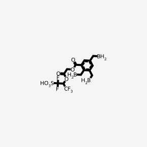 BCc1cc(CB)c(CB)c(C(=O)OCC(=O)OC(C(F)(F)F)C(F)(F)S(=O)(=O)O)c1